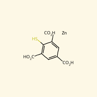 O=C(O)c1cc(C(=O)O)c(S)c(C(=O)O)c1.[Zn]